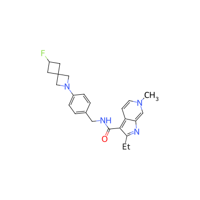 CCc1nc2cn(C)ccc-2c1C(=O)NCc1ccc(N2CC3(CC(F)C3)C2)cc1